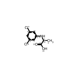 C[C@H](Nc1cc(Cl)cc(Cl)c1)C(=O)O